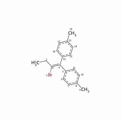 CCC(Br)=C(c1ccc(C)cc1)c1ccc(C)cc1